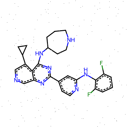 Fc1cccc(F)c1Nc1cc(-c2nc(NC3CCCNCC3)c3c(C4CC4)cncc3n2)ccn1